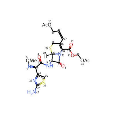 CO/N=C(\C(=O)N[C@@H]1C(=O)N2C(C(=O)OCOC(C)=O)=C(/C=C\COC(C)=O)CS[C@@H]12)c1csc(N)n1